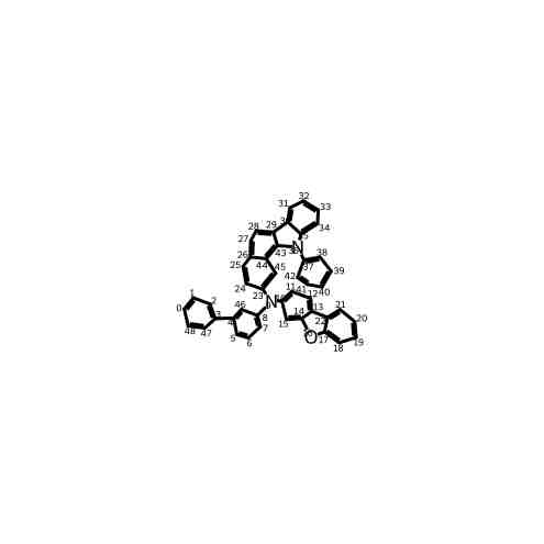 c1ccc(-c2cccc(N(c3ccc4c(c3)oc3ccccc34)c3ccc4ccc5c6ccccc6n(-c6ccccc6)c5c4c3)c2)cc1